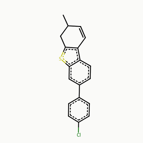 CC1C=Cc2c(sc3cc(-c4ccc(Cl)cc4)ccc23)C1